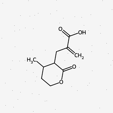 C=C(CC1C(=O)OCCC1C)C(=O)O